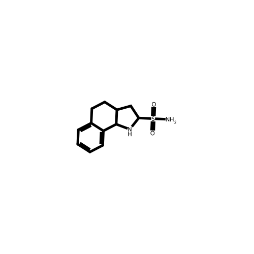 NS(=O)(=O)C1CC2CCc3ccccc3C2N1